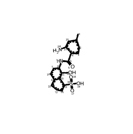 Cc1ccc(C(=O)Nc2ccc3cccc(S(=O)(=O)O)c3c2O)c(N)c1